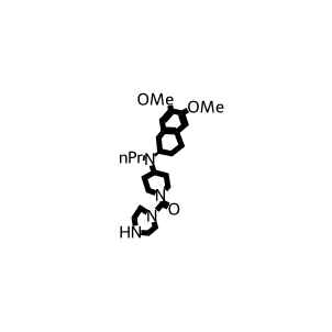 CCCN(C1CCN(C(=O)N2CCNCC2)CC1)[C@@H]1CCc2cc(OC)c(OC)cc2C1